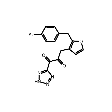 CC(=O)c1ccc(Cc2occc2CC(=O)C(=O)c2nn[nH]n2)cc1